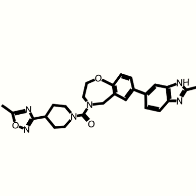 Cc1nc2ccc(-c3ccc4c(c3)CN(C(=O)N3CCC(c5noc(C)n5)CC3)CCO4)cc2[nH]1